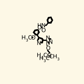 COc1ccc(OC(=O)NCc2ccccc2)cc1-c1cncc(-c2ncnn2COCC[Si](C)(C)C)c1